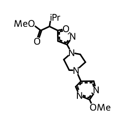 COC(=O)C(c1cc(N2CCN(c3cnc(OC)nc3)CC2)no1)C(C)C